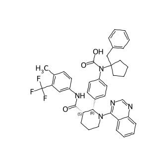 Cc1ccc(NC(=O)[C@H]2CCCN(c3ncnc4ccccc34)[C@H]2c2ccc(N(C(=O)O)C3(Cc4ccccc4)CCCC3)cc2)cc1C(F)(F)F